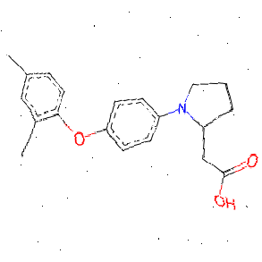 Cc1ccc(Oc2ccc(N3CCCC3CC(=O)O)cc2)c(C)c1